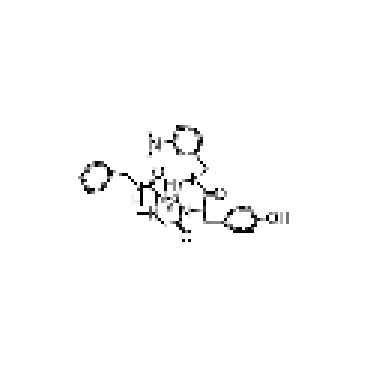 CN(C)c1cccc(CN2C[C@H]3N(C(=O)CN(C)N3C(=O)NCc3ccccc3)C(Cc3ccc(O)cc3)C2=O)c1